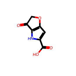 O=C(O)c1cc2c([nH]1)C(=O)CO2